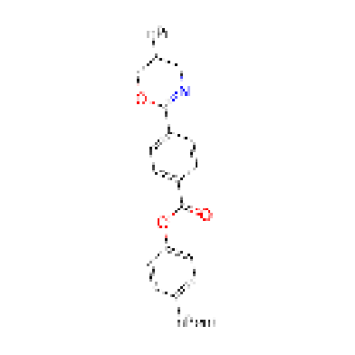 CCCCCc1ccc(OC(=O)c2ccc(C3=NCC(CCC)CO3)cc2)cc1